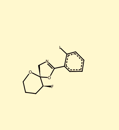 F[C@H]1CCCO[C@@]12CN=C(c1ccccc1I)O2